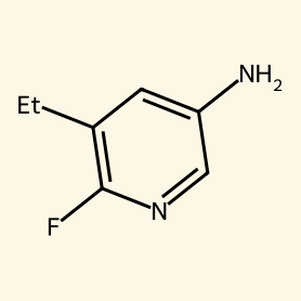 CCc1cc(N)cnc1F